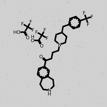 O=C(CCCN1CCC(Cc2ccc(C(F)(F)F)cc2)CC1)c1ccc2c(c1)CCNCC2.O=C(O)C(F)(F)F.O=C(O)C(F)(F)F